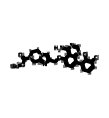 CC(C)(C)OC(=O)N1CCn2cc(COc3ccc(-c4cccc(Cl)c4Cl)c4ncnc(N)c34)nc2C1